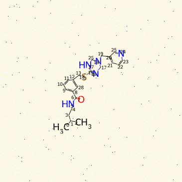 CC(C)CCNC(=O)c1cccc(CSC2=NCN(Cc3cccnc3)CN2)c1